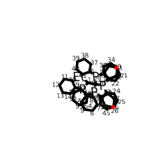 CCC(P(C1CCCCC1)C1CCCCC1)C(P(C1CCCCC1)C1CCCCC1)(P(C1CCCCC1)C1CCCCC1)P(C1CCCCC1)C1CCCCC1